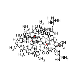 CC(=O)N[C@H]1[C@@H](O[C@H](C)[C@H](NC(=O)[C@@H]2CCCN2C(=O)[C@H](CCCCN)NC(=O)[C@@H](NC(=O)[C@H](CC(N)=O)NC(=O)[C@@H](NC(=O)[C@@H]2CCCN2C(=O)[C@H](CC(N)=O)NC(=O)[C@@H]2CCCN2C(=O)[C@H](CCCNC(=N)N)NC(=O)CN)C(C)C)[C@@H](C)O)C(=O)N2CCC[C@H]2C(=O)N[C@@H](Cc2ccc(O)cc2)C(=O)N2CCC[C@H]2C(=O)N[C@@H](CCCNC(=N)N)C(=O)N[C@@H](CC(C)C)C(=O)O)O[C@H](CO)[C@H](O)[C@@H]1O